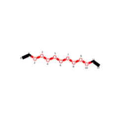 C=COOOOOOOOOC=C